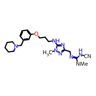 CN/C(=N/Cc1nc(NCCCOc2cccc(CN3CCCCC3)c2)n(C)n1)NC#N